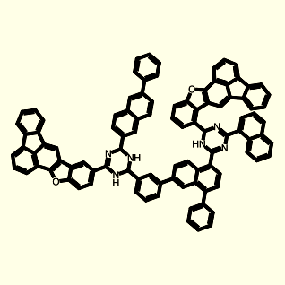 c1ccc(-c2ccc3cc(C4N=C(c5ccc6oc7c8cccc9c8c(cc7c6c5)-c5ccccc5-9)NC(c5cccc(-c6ccc7c(C8=NC(c9cccc%10ccccc9%10)=NC(c9cccc%10oc%11c%12cccc%13c%12c(cc%11c9%10)-c9ccccc9-%13)N8)ccc(-c8ccccc8)c7c6)c5)N4)ccc3c2)cc1